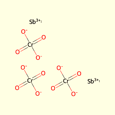 [O]=[Cr](=[O])([O-])[O-].[O]=[Cr](=[O])([O-])[O-].[O]=[Cr](=[O])([O-])[O-].[Sb+3].[Sb+3]